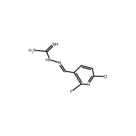 N=C(N)N/N=C/c1ccc(Cl)nc1F